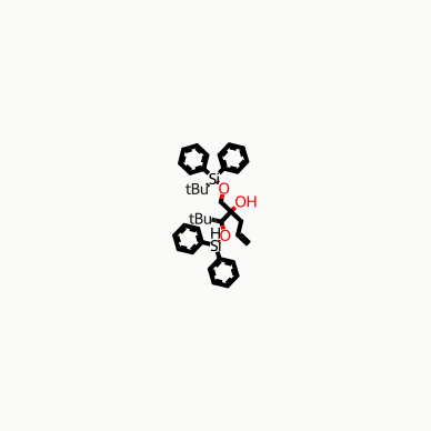 C=CCC(O)(CO[Si](c1ccccc1)(c1ccccc1)C(C)(C)C)C(O[SiH](c1ccccc1)c1ccccc1)C(C)(C)C